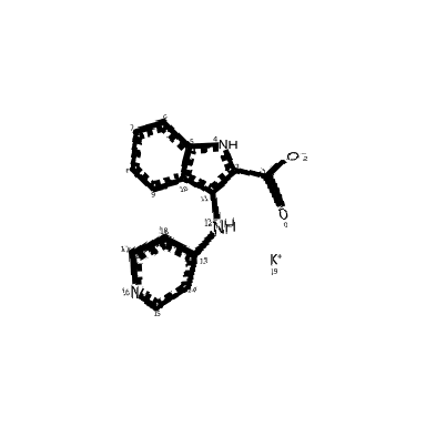 O=C([O-])c1[nH]c2ccccc2c1Nc1ccncc1.[K+]